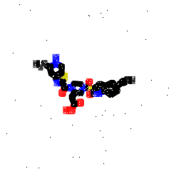 C#Cc1ccc2[nH]c(S(=O)(=O)N3CCN(C(=O)c4nc5c(s4)CNC(C)C5)C(CC(=O)O)C3)cc2c1